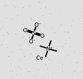 C[N+](C)(C)C.O=S(=O)([O-])[O-].[Ce]